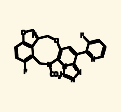 O=C(O)N1Cc2c(F)ccc3c2[C@@H](CO3)COc2cc(-c3ncccc3F)c3nncn3c21